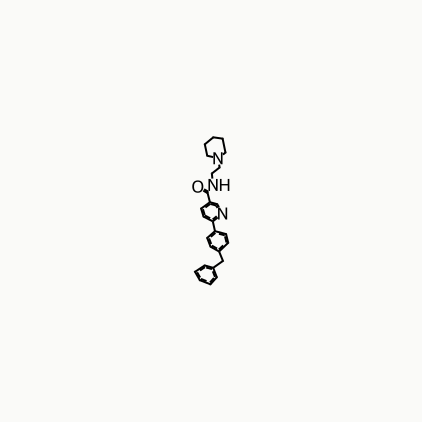 O=C(NCCN1CCCCC1)c1ccc(-c2ccc(Cc3ccccc3)cc2)nc1